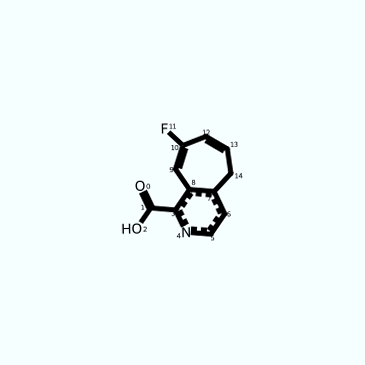 O=C(O)c1nccc2c1C=C(F)C=CC2